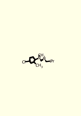 Cc1cc(Cl)ccc1N(C)C=NCC(C)C